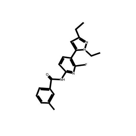 CCc1cc(-c2ccc(NC(=O)c3cccc(C)c3)nc2F)n(CC)n1